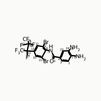 Nc1ccc(C(=O)Nc2c(Br)cc(C(F)(C(F)(F)F)C(F)(F)C(F)(F)F)cc2Br)cc1N